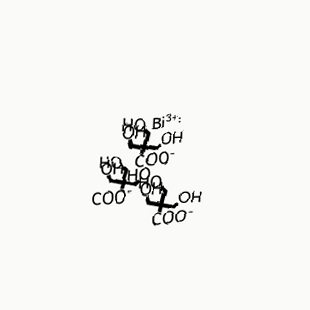 O=C([O-])C(CO)(CO)CO.O=C([O-])C(CO)(CO)CO.O=C([O-])C(CO)(CO)CO.[Bi+3]